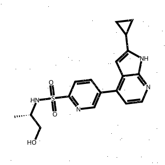 C[C@@H](CO)NS(=O)(=O)c1ccc(-c2ccnc3[nH]c(C4CC4)cc23)cn1